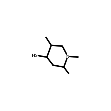 CC1CN(C)C(C)CC1S